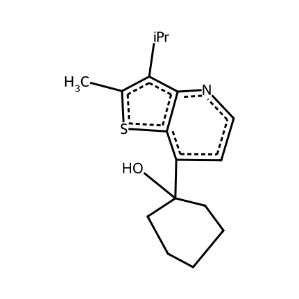 Cc1sc2c(C3(O)CCCCC3)ccnc2c1C(C)C